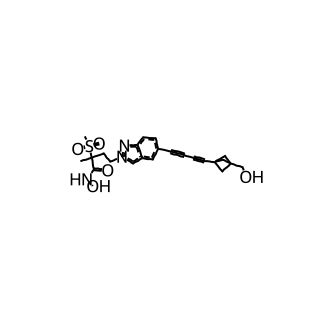 CC(CCn1cc2cc(C#CC#CC34CC(CO)(C3)C4)ccc2n1)(C(=O)NO)S(C)(=O)=O